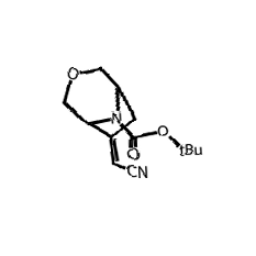 CC(C)(C)OC(=O)N1C2COCC1/C(=C/C#N)C2